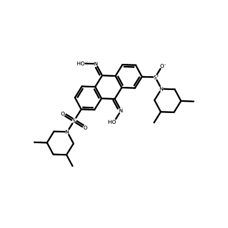 CC1CC(C)CN([S+]([O-])c2ccc3c(c2)/C(=N/O)c2cc(S(=O)(=O)N4CC(C)CC(C)C4)ccc2/C3=N\O)C1